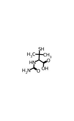 CC(C)(S)C(NC(N)=O)C(=O)O